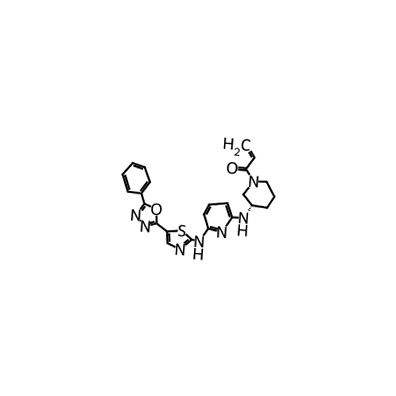 C=CC(=O)N1CCC[C@H](Nc2cccc(Nc3ncc(-c4nnc(-c5ccccc5)o4)s3)n2)C1